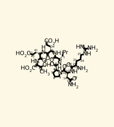 CC(C)C[C@H](NC(=O)[C@@H]1CCCN1C(=O)[C@H](CC(N)=O)NC(=O)[C@@H](N)CCCNC(=N)N)C(=O)N[C@@H](CCC(=O)O)C(=O)N[C@@H](CCC(=O)O)C(=O)N[C@H](C(=O)O)[C@@H](C)O